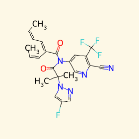 C\C=C/C=C(\C=C/C)C(=O)N(C(=O)C(C)(C)n1cc(F)cn1)c1cnc(C#N)c(C(F)(F)F)c1